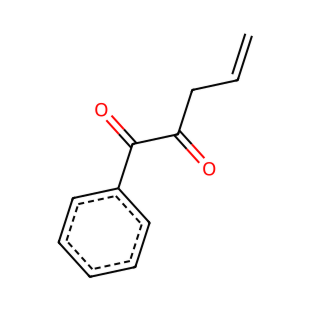 C=CCC(=O)C(=O)c1ccccc1